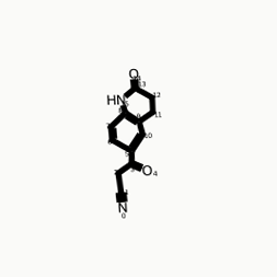 N#CCC(=O)c1ccc2c(c1)CCC(=O)N2